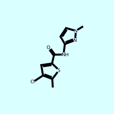 Cc1sc(C(=O)Nc2ccn(C)n2)cc1Cl